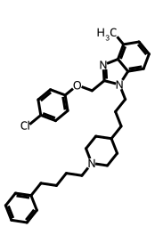 Cc1cccc2c1nc(COc1ccc(Cl)cc1)n2CCCC1CCN(CCCCc2ccccc2)CC1